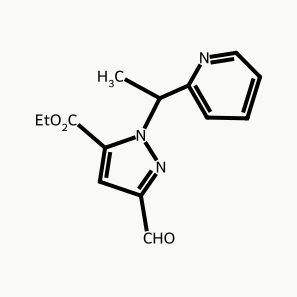 CCOC(=O)c1cc(C=O)nn1C(C)c1ccccn1